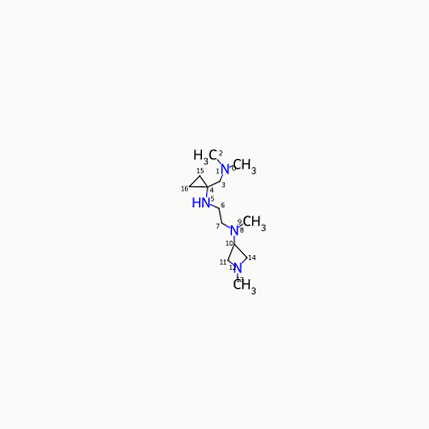 CN(C)CC1(NCCN(C)C2CN(C)C2)CC1